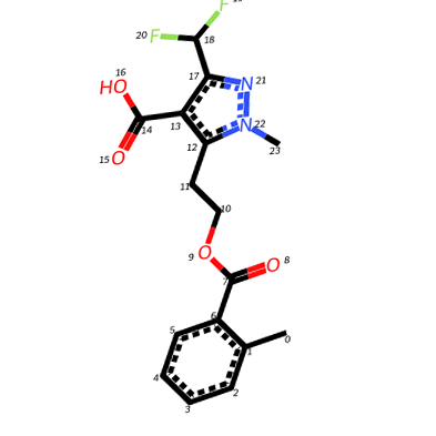 Cc1ccccc1C(=O)OCCc1c(C(=O)O)c(C(F)F)nn1C